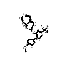 COc1ccc(-c2ccc(C(F)(F)F)cc2Oc2ccc3cnccc3n2)cc1